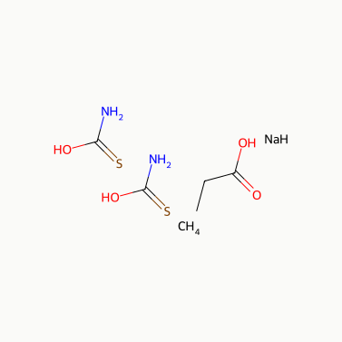 C.CCC(=O)O.NC(O)=S.NC(O)=S.[NaH]